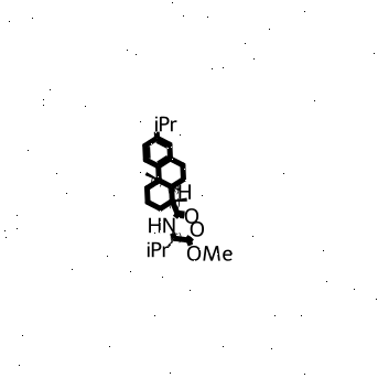 COC(=O)[C@@H](NC(=O)[C@]1(C)CCC[C@]2(C)c3ccc(C(C)C)cc3CC[C@@H]12)C(C)C